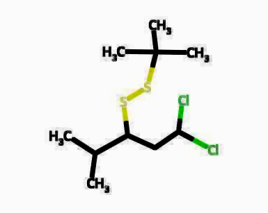 CC(C)C(CC(Cl)Cl)SSC(C)(C)C